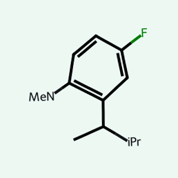 CNc1ccc(F)cc1C(C)C(C)C